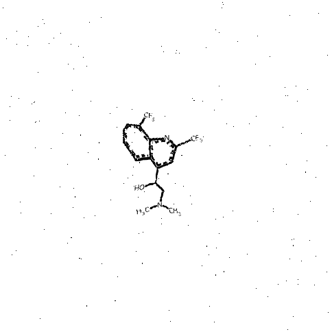 CN(C)CC(O)c1cc(C(F)(F)F)nc2c(C(F)(F)F)cccc12